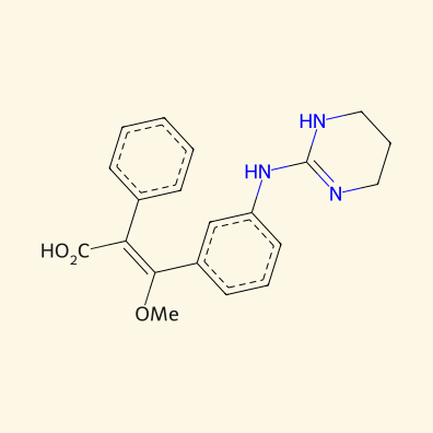 COC(=C(C(=O)O)c1ccccc1)c1cccc(NC2=NCCCN2)c1